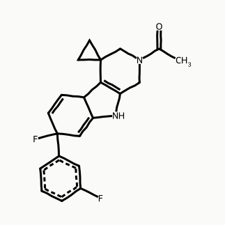 CC(=O)N1CC2=C(C3C=CC(F)(c4cccc(F)c4)C=C3N2)C2(CC2)C1